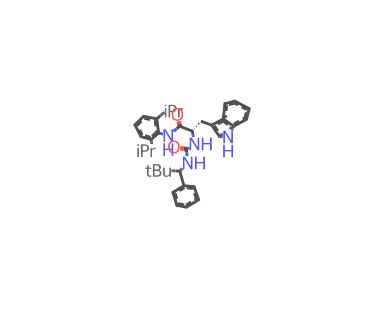 CC(C)c1cccc(C(C)C)c1NC(=O)[C@H](Cc1c[nH]c2ccccc12)NC(=O)NC(c1ccccc1)C(C)(C)C